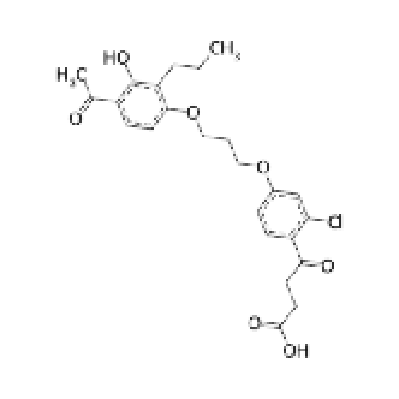 CCCc1c(OCCCOc2ccc(C(=O)CCC(=O)O)c(Cl)c2)ccc(C(C)=O)c1O